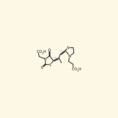 CC(/C=C1/SCCN1CCC(=O)O)=C1\SC(=S)N(CC(=O)O)C1=O